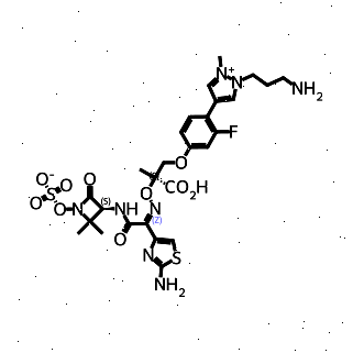 C[n+]1cc(-c2ccc(OC[C@](C)(O/N=C(\C(=O)N[C@@H]3C(=O)N(OS(=O)(=O)[O-])C3(C)C)c3csc(N)n3)C(=O)O)cc2F)cn1CCCN